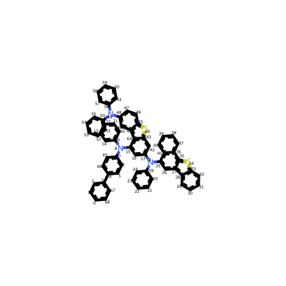 c1ccc(-c2ccc(N(c3ccccc3)c3cc(N(c4ccccc4)c4cc5c6ccccc6sc5c5ccccc45)cc4sc5ccc(N(c6ccccc6)c6ccccc6)cc5c34)cc2)cc1